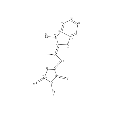 CCC1C(=O)C(=CC(C)=C2Sc3ccccc3N2CC)C[N+]1=S